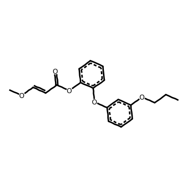 CCCOc1cccc(Oc2ccccc2OC(=O)/C=C/OC)c1